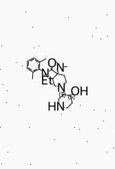 CCN(C(=O)C1(N(C)C)CCN([C@H]2CNCC[C@@H]2O)CC1)c1c(C)cccc1C